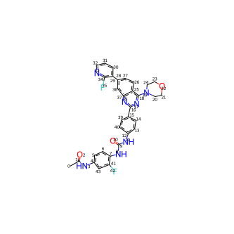 CC(=O)Nc1ccc(NC(=O)Nc2ccc(-c3nc(N4CCOCC4)c4ccc(-c5cccnc5F)cc4n3)cc2)c(F)c1